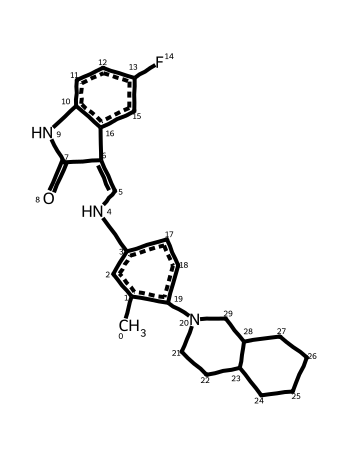 Cc1cc(NC=C2C(=O)Nc3ccc(F)cc32)ccc1N1CCC2CCCCC2C1